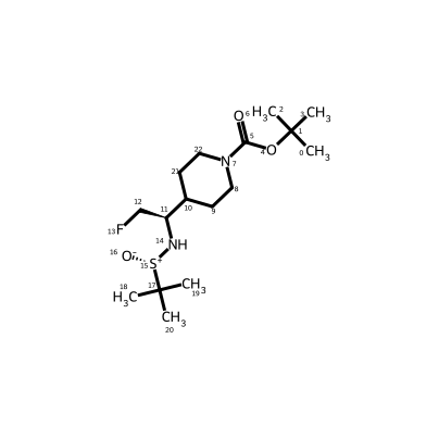 CC(C)(C)OC(=O)N1CCC([C@H](CF)N[S@@+]([O-])C(C)(C)C)CC1